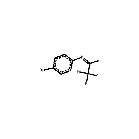 FC(F)(F)/C(Cl)=N\c1ccc(Br)cc1